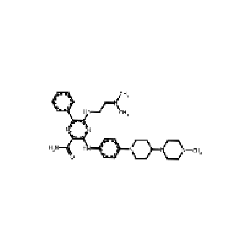 CN(C)CCNc1nc(Nc2ccc(N3CCC(N4CCN(C)CC4)CC3)cc2)c(C(N)=O)nc1-c1ccccc1